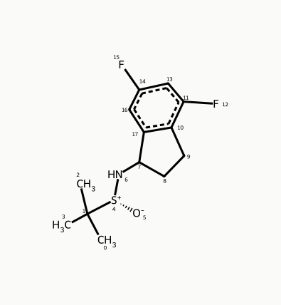 CC(C)(C)[S@@+]([O-])NC1CCc2c(F)cc(F)cc21